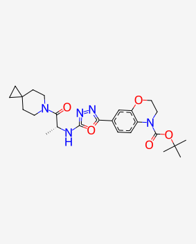 C[C@@H](Nc1nnc(-c2ccc3c(c2)OCCN3C(=O)OC(C)(C)C)o1)C(=O)N1CCC2(CC1)CC2